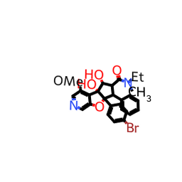 CCN(C)C(=O)C1C(O)C2(O)c3c(OC)cncc3OC2(c2ccc(Br)cc2)C1c1ccccc1